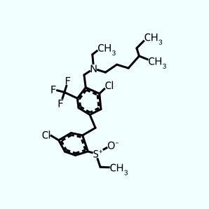 CCC(C)CCCN(CC)Cc1c(Cl)cc(Cc2cc(Cl)ccc2[S+]([O-])CC)cc1C(F)(F)F